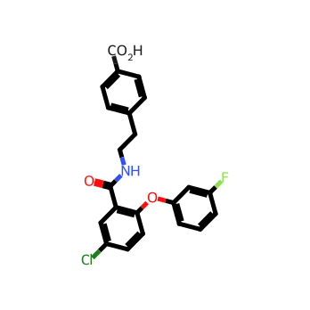 O=C(O)c1ccc(CCNC(=O)c2cc(Cl)ccc2Oc2cccc(F)c2)cc1